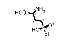 CCP(=O)(O)CCC(N)C(=O)O